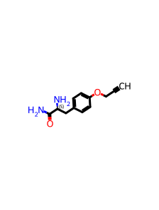 C#CCOc1ccc(C[C@H](N)C(N)=O)cc1